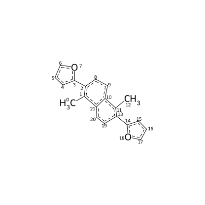 Cc1c(-c2ccco2)ccc2c(C)c(-c3ccco3)ccc12